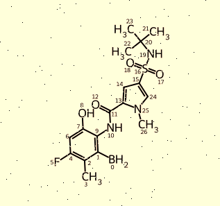 Bc1c(C)c(F)cc(O)c1NC(=O)c1cc(S(=O)(=O)NC(C)(C)C)cn1C